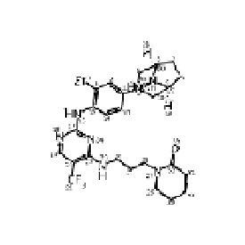 CCc1cc(N2C[C@H]3CC[C@@H](C2)N3C)ccc1Nc1ncc(C(F)(F)F)c(NCCCN2CCCCC2=O)n1